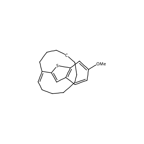 COc1ccc2cc(/C3=C\CCCCCCCCCC3)sc2c1